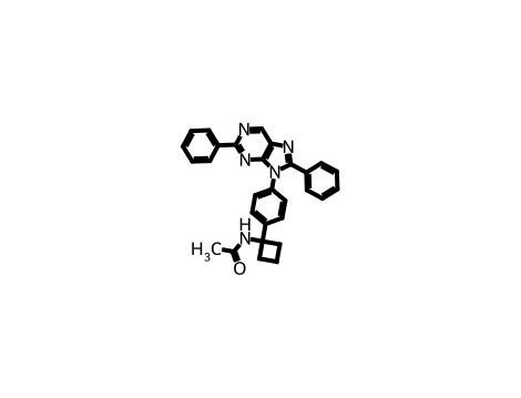 CC(=O)NC1(c2ccc(-n3c(-c4ccccc4)nc4cnc(-c5ccccc5)nc43)cc2)CCC1